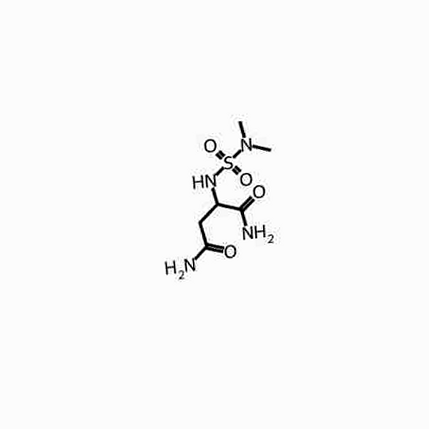 CN(C)S(=O)(=O)NC(CC(N)=O)C(N)=O